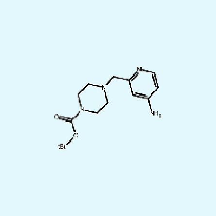 CC(C)(C)OC(=O)N1CCN(Cc2cc(N)ccn2)CC1